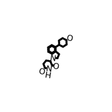 O=C1CCC(c2cccc3c2CCN3[C@@H]2CCC(=O)NC2=O)CC1